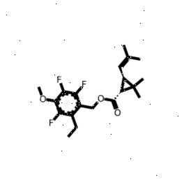 CCc1c(F)c(OC)c(F)c(F)c1COC(=O)[C@@H]1[C@@H](C=C(C)C)C1(C)C